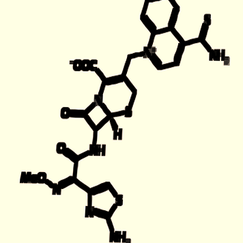 CO/N=C(\C(=O)NC1C(=O)N2C(C(=O)[O-])=C(C[n+]3ccc(C(N)=S)c4ccccc43)CS[C@H]12)c1csc(N)n1